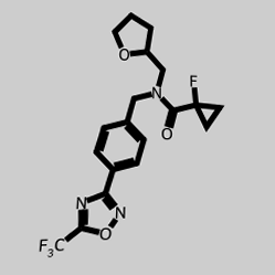 O=C(N(Cc1ccc(-c2noc(C(F)(F)F)n2)cc1)CC1CCCO1)C1(F)CC1